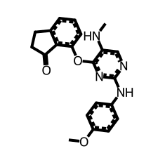 CNc1cnc(Nc2ccc(OC)cc2)nc1Oc1cccc2c1C(=O)CC2